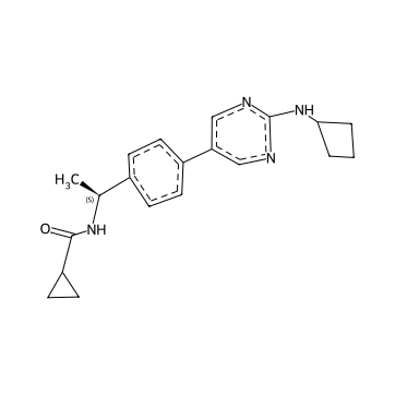 C[C@H](NC(=O)C1CC1)c1ccc(-c2cnc(NC3CCC3)nc2)cc1